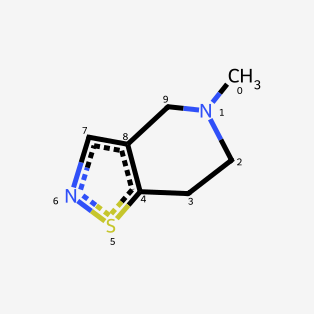 CN1CCc2sncc2C1